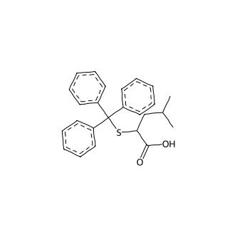 CC(C)CC(SC(c1ccccc1)(c1ccccc1)c1ccccc1)C(=O)O